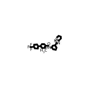 Cc1cc(-c2ccc(C(F)(F)F)cc2)ccc1C(=O)Nc1cccc(-c2nc3ccccn3n2)c1